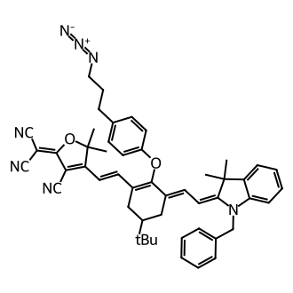 CC1(C)OC(=C(C#N)C#N)C(C#N)=C1/C=C/C1=C(Oc2ccc(CCCN=[N+]=[N-])cc2)C(=C/C=C2/N(Cc3ccccc3)c3ccccc3C2(C)C)/CC(C(C)(C)C)C1